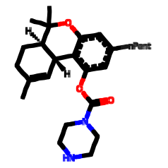 CCCCCc1cc(OC(=O)N2CCNCC2)c2c(c1)OC(C)(C)[C@@H]1CCC(C)=C[C@@H]21